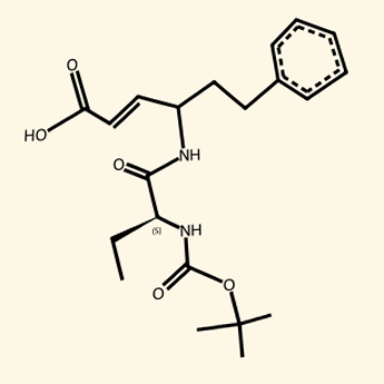 CC[C@H](NC(=O)OC(C)(C)C)C(=O)NC(C=CC(=O)O)CCc1ccccc1